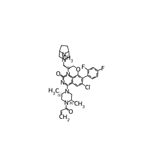 C=CC(=O)N1C[C@H](C)N(c2nc(=O)n3c4c(c(-c5ccc(F)cc5F)c(Cl)cc24)OC[C@@H]3CN2CC3CCC(C2)N3C)C[C@H]1C